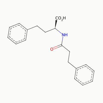 O=C(CCc1ccccc1)N[C@@H](CCc1ccccc1)C(=O)O